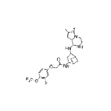 CC1CC2C(NC3CC(NC(=O)COc4ccc(OC(F)(F)F)c(F)c4)C4CC3C4)NCCN2N1